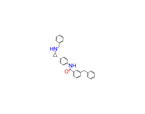 O=C(Nc1ccc([C@@H]2C[C@H]2NCc2ccccc2)cc1)c1cccc(Cc2ccccc2)c1